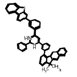 CC1(C)c2cc3ccccc3cc2-c2c(-c3cccc(C4=CC(c5cccc(-c6ccc7c(c6)sc6ccccc67)c5)NC(c5ccccc5)N4)c3)cccc21